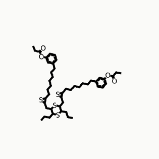 CCCC1SC(CCC)C(CC2SC2CCCCCCCc2cccc(OC(=O)CC)c2)SC1CC1SC1CCCCCCCc1cccc(OC(=O)CC)c1